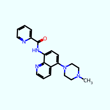 CN1CCN(c2ccc(NC(=O)c3ccccn3)c3ncccc23)CC1